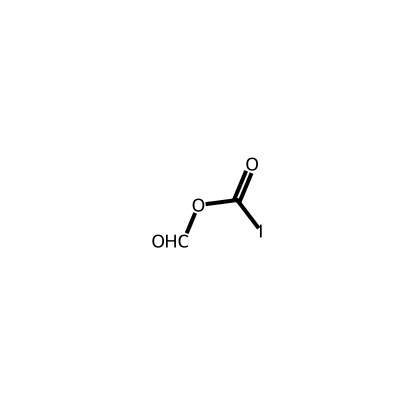 O=COC(=O)I